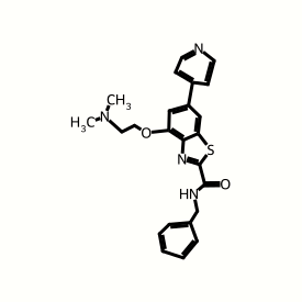 CN(C)CCOc1cc(-c2ccncc2)cc2sc(C(=O)NCc3ccccc3)nc12